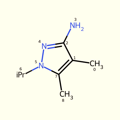 Cc1c(N)nn(C(C)C)c1C